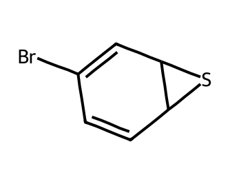 BrC1=CC2SC2C=C1